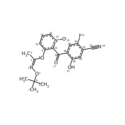 C/C(=N/OC(C)(C)C)Oc1ccc[n+]([O-])c1C(=O)c1cc(F)c(C#N)cc1O